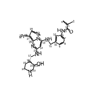 C=C(C)C(=O)Nc1cccc(CNc2cc(NC[C@H]3CCNC[C@@H]3O)nc3c(C(C)C)cnn23)c1